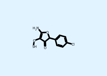 NC1=C(OS)C(=O)C(c2ccc(Cl)cc2)O1